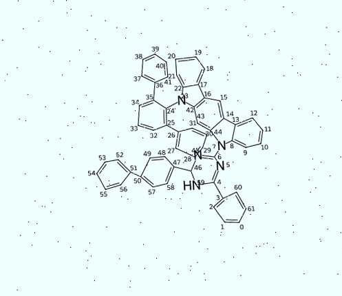 c1ccc(C2=NC(n3c4ccccc4c4cc5c6ccccc6n(-c6c(-c7ccccc7)cccc6-c6ccccc6)c5cc43)=NC(c3ccc(-c4ccccc4)cc3)N2)cc1